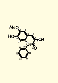 COc1cc(C=C(C#N)C(=O)Oc2ccccc2)ccc1O